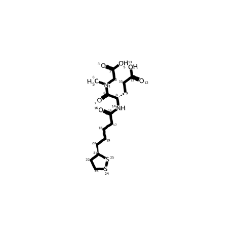 CN(CC(=O)O)C(=O)[C@H](CCC(=O)O)NC(=O)CCCC[C@@H]1CCSS1